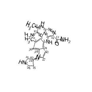 Cc1cc(Nc2nc(N[C@H](C)C(N)=O)nnc2C(N)=O)c2ccn([C@H]3CCNC3)c2c1